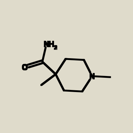 CN1CCC(C)(C(N)=O)CC1